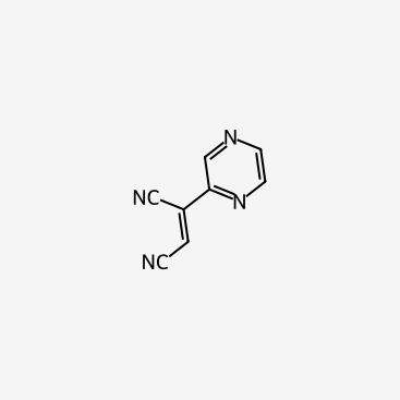 N#CC=C(C#N)c1cnccn1